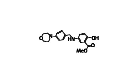 COC(=O)c1cc(NCc2ccc(N3CCOCC3)cc2)ccc1O